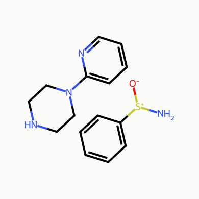 N[S+]([O-])c1ccccc1.c1ccc(N2CCNCC2)nc1